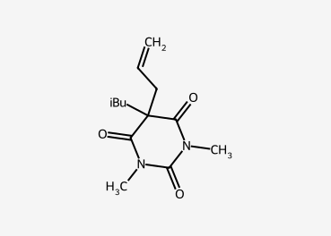 C=CCC1(C(C)CC)C(=O)N(C)C(=O)N(C)C1=O